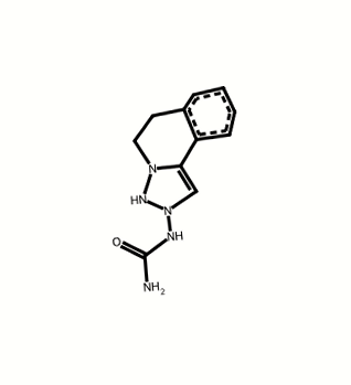 NC(=O)NN1C=C2c3ccccc3CCN2N1